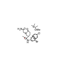 C=C(C)[C@@H]1N(CC(N)=O)C(=O)C[C@H](c2cccc(Cl)c2)[C@@]12C(=O)Nc1cc(Br)ccc12.COC(C)[Si](C)(C)C